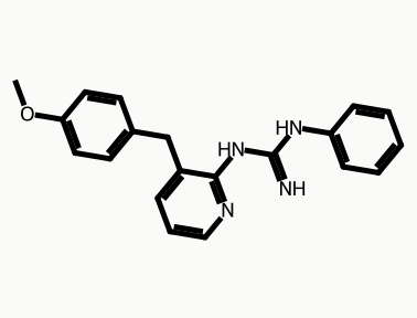 COc1ccc(Cc2cccnc2NC(=N)Nc2ccccc2)cc1